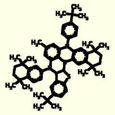 Cc1cc2c3c(c1)N(c1ccc4c(c1)C(C)(C)CCC4(C)C)C1c4cc(C(C)(C)C)ccc4SC1B3c1cc3c(cc1N2c1ccc(C(C)(C)C)cc1)C(C)(C)CCC3(C)C